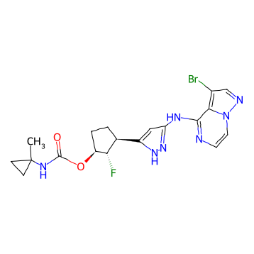 CC1(NC(=O)O[C@H]2CC[C@@H](c3cc(Nc4nccn5ncc(Br)c45)n[nH]3)[C@@H]2F)CC1